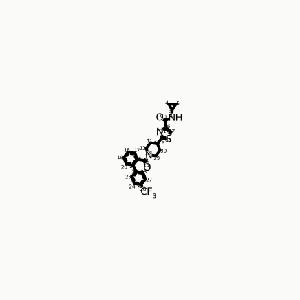 O=C(NC1CC1)c1csc(C2CCN(C(=O)c3ccccc3-c3ccc(C(F)(F)F)cc3)CC2)n1